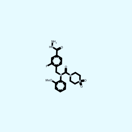 COc1ccccc1N(Cc1ccc(C(=O)NN)cc1F)C(=O)N1CCS(=O)(=O)CC1